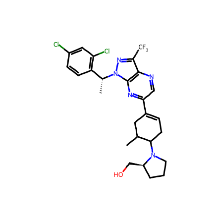 CC1CC(c2cnc3c(C(F)(F)F)nn([C@H](C)c4ccc(Cl)cc4Cl)c3n2)=CCC1N1CCC[C@H]1CO